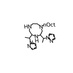 CCCCCCCCN1CCNCC(C(C)n2cccn2)NC(C(C)n2cccn2)C1